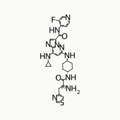 N[C@H](Cc1cscn1)C(=O)N[C@H]1CC[C@H](Nc2cc(NC3CC3)c3ncc(C(=O)Nc4ccncc4F)n3n2)CC1